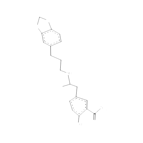 C[C@@H](CCNC(O)Cc1ccc(O)c(C(N)=O)c1)c1ccc2c(c1)OCO2